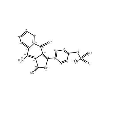 N=S(N)(=O)Oc1ccc(C2=C3C(=O)c4ccccc4C(N)=C3C(=O)N2)cc1